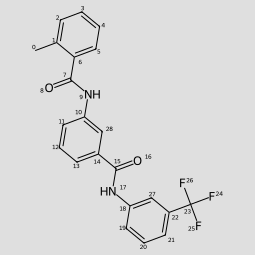 Cc1ccccc1C(=O)Nc1cccc(C(=O)Nc2cccc(C(F)(F)F)c2)c1